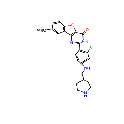 COc1ccc2oc3c(=O)[nH]c(-c4ccc(NCC5CCNCC5)cc4Cl)nc3c2c1